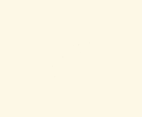 CC(C)(C)CCCc1ccco1